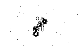 Cn1c(SCC(=O)Nc2cccc([N+](=O)[O-])c2)nnc1C1CCCCC1